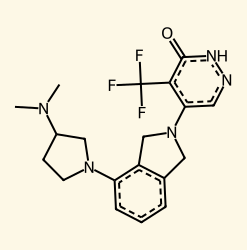 CN(C)C1CCN(c2cccc3c2CN(c2cn[nH]c(=O)c2C(F)(F)F)C3)C1